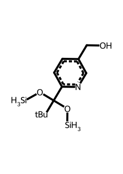 CC(C)(C)C(O[SiH3])(O[SiH3])c1ccc(CO)cn1